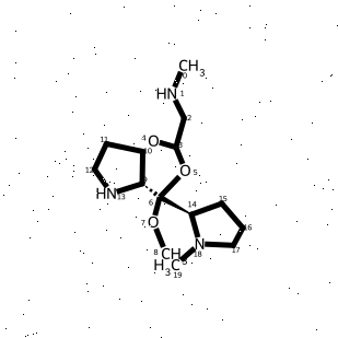 CNCC([O])OC(OC)([C@H]1CCCN1)[C@H]1CCCN1C